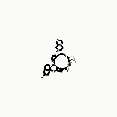 C[C@@H]1[C@@H](C)CCC[C@@H](CN2CCN3CCOC[C@@H]3C2)[C@@H]2CC[C@H]2CN2C[C@@]3(CCCc4cc(Cl)ccc43)COc3ccc(cc32)C(=O)NS1(=O)=O